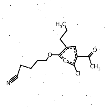 CCCc1cc(C(C)=O)c(Cl)cc1OCCCCC#N